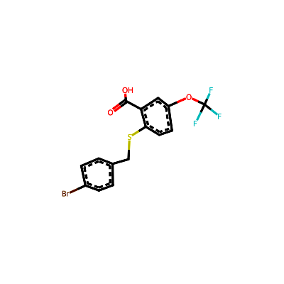 O=C(O)c1cc(OC(F)(F)F)ccc1SCc1ccc(Br)cc1